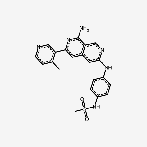 Cc1ccncc1-c1cc2cc(Nc3ccc(NS(C)(=O)=O)cc3)ncc2c(N)n1